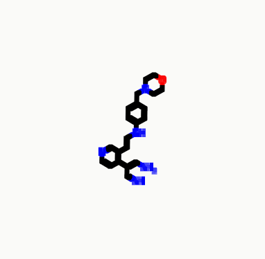 N=C/C(=C\N)c1ccncc1/C=C/Nc1ccc(CN2CCOCC2)cc1